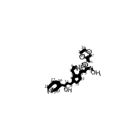 O/N=C(\C=C1/NCCc2cc(CCC(O)c3cccnc3)ccc21)OCC1COCCO1